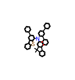 CC1(C)c2ccccc2-c2ccc(N(c3ccc(-c4ccccc4)cc3-c3ccccc3)c3cc(-c4ccccc4)cc4c3sc3ccccc34)cc21